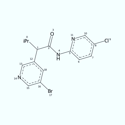 CC(C)C(C(=O)Nc1ccc(Cl)cn1)c1cncc(Br)c1